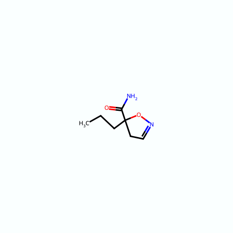 CCCC1(C(N)=O)CC=NO1